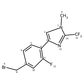 Cn1cc(-c2ccc(CBr)cc2F)nc1C(F)(F)F